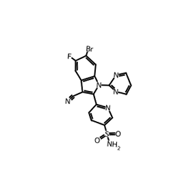 N#Cc1c(-c2ccc(S(N)(=O)=O)cn2)n(-c2ncccn2)c2cc(Br)c(F)cc12